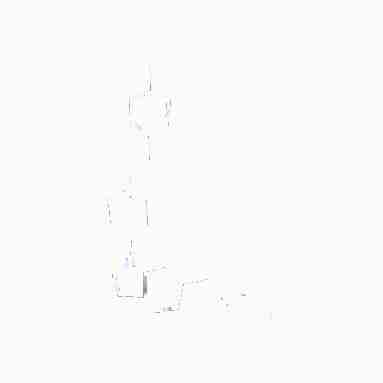 CC(C)C(=O)NCc1ccc2ccn(C3CCN(CCc4ccc(F)cc4)CC3)c2c1